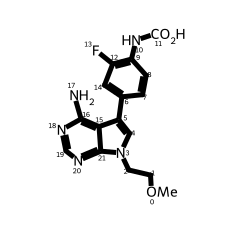 COCCn1cc(-c2ccc(NC(=O)O)c(F)c2)c2c(N)ncnc21